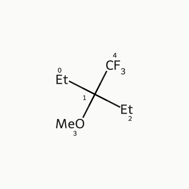 CCC(CC)(OC)C(F)(F)F